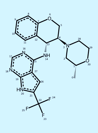 C[C@@H]1CN([C@@H]2COc3ccccc3[C@H]2Nc2ncnc3[nH]c(C(F)(F)F)cc23)CCO1